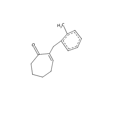 Cc1ccccc1CC1=CCCCCC1=O